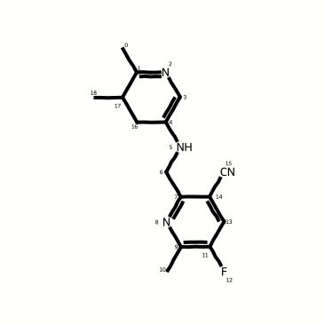 CC1=NC=C(NCc2nc(C)c(F)cc2C#N)CC1C